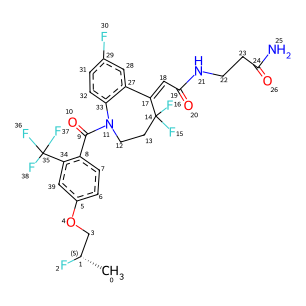 C[C@H](F)COc1ccc(C(=O)N2CCC(F)(F)C(=CC(=O)NCCC(N)=O)c3cc(F)ccc32)c(C(F)(F)F)c1